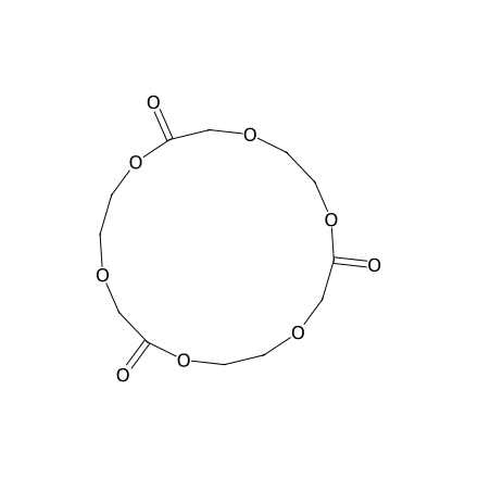 O=C1COCCOC(=O)COCCOC(=O)COCCO1